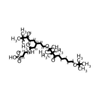 CC(C)(C)OCCCCCC(=O)C(C)(C)C(C)(C)OCCC(CCC(=O)C(C)(C)C)CC(=O)NCCS(=O)(=O)O